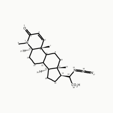 CN1C(=O)C=C[C@]2(C)C3CC[C@]4(C)[C@@H](C(N=[N+]=[N-])C(=O)O)CC[C@H]4C3CC[C@@H]12